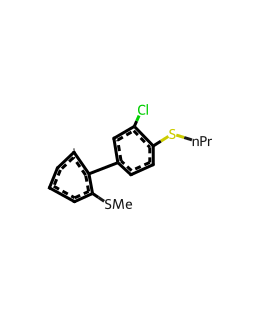 CCCSc1ccc(-c2[c]cccc2SC)cc1Cl